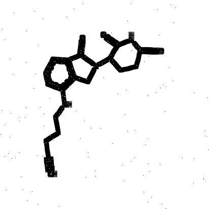 C#CCCCNc1cccc2c1CN(C1CCC(=O)NC1=O)C2=O